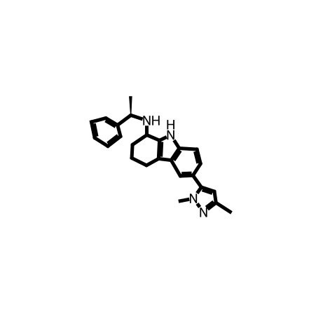 Cc1cc(-c2ccc3[nH]c4c(c3c2)CCCC4N[C@H](C)c2ccccc2)n(C)n1